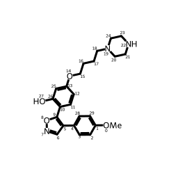 COc1ccc(-c2cnoc2-c2ccc(OCCCCN3CCNCC3)cc2O)cc1